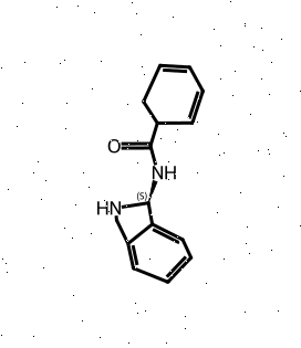 O=C(N[C@@H]1NCc2ccccc21)C1C=CC=CC1